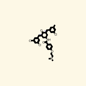 Cc1cc(Cl)cc(/C=C2\CC(NC(=O)c3ccc(OCCN(C)C)cc3)C/C(=C\c3cc(Cl)cc(Cl)c3)C2=O)c1